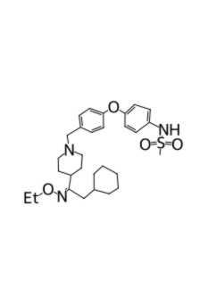 CCO/N=C(/CC1CCCCC1)C1CCN(Cc2ccc(Oc3ccc(NS(C)(=O)=O)cc3)cc2)CC1